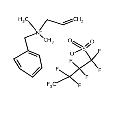 C=CC[N+](C)(C)Cc1ccccc1.O=S(=O)([O-])C(F)(F)C(F)(F)C(F)(F)C(F)(F)F